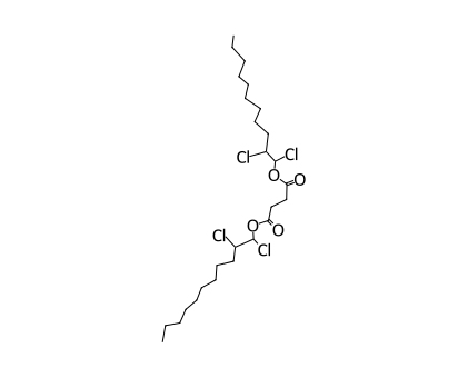 CCCCCCCCCC(Cl)C(Cl)OC(=O)CCC(=O)OC(Cl)C(Cl)CCCCCCCCC